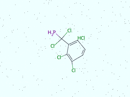 Cl.PC(Cl)(Cl)c1cccc(Cl)c1Cl